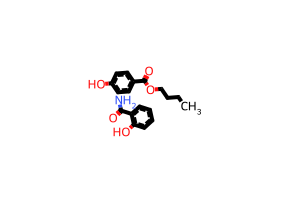 CCCCOC(=O)c1ccc(O)cc1.NC(=O)c1ccccc1O